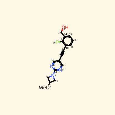 COC1CN(c2ncc(C#Cc3cccc(CO)c3F)cn2)C1